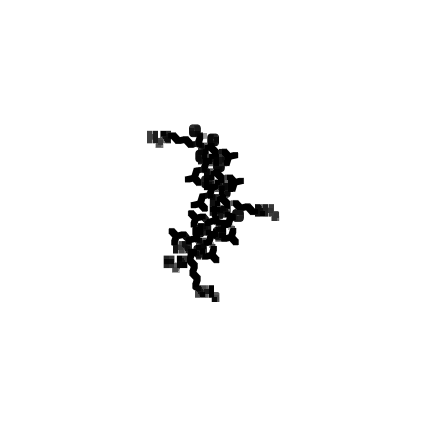 CC(C)C[C@H](NC(=O)[C@H](CC(C)C)NC(=O)[C@H](CC(C)C)NC(=O)[C@H](CC(C)C)NC(=O)[C@H](CCCCN)NC(=O)[C@H](CC(C)C)NC(=O)[C@H](CC(C)C)NC(=O)[C@H](CC(C)C)NC(=O)[C@H](CC(C)C)NC(=O)[C@@H](N)CCCCN)C(=O)N[C@H]([C]=O)CCCCN